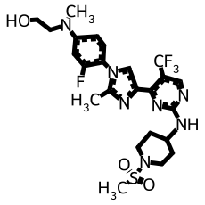 Cc1nc(-c2nc(NC3CCN(S(C)(=O)=O)CC3)ncc2C(F)(F)F)cn1-c1ccc(N(C)CCO)cc1F